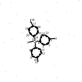 Cc1ccc(S(C)(c2ccc(C)cc2)c2ccc(I)cc2)cc1